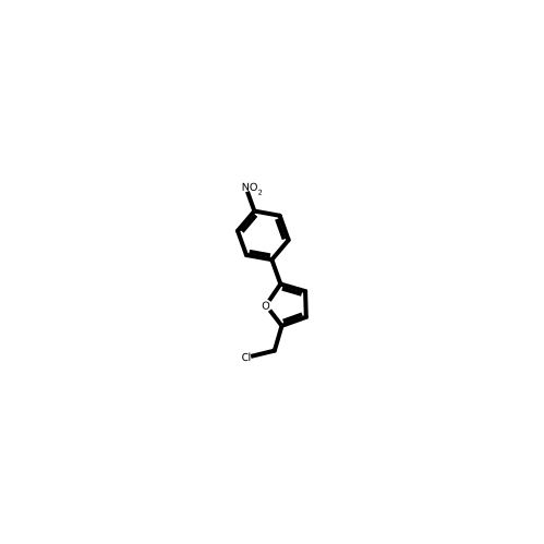 O=[N+]([O-])c1ccc(-c2ccc(CCl)o2)cc1